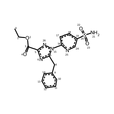 CCOC(=O)c1nc(Cc2ccccc2)n(-c2ccc(S(N)(=O)=O)cn2)n1